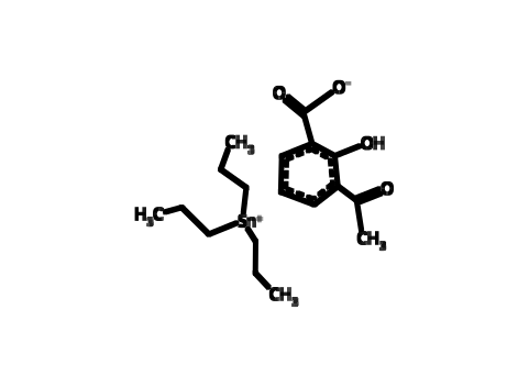 CC(=O)c1cccc(C(=O)[O-])c1O.CC[CH2][Sn+]([CH2]CC)[CH2]CC